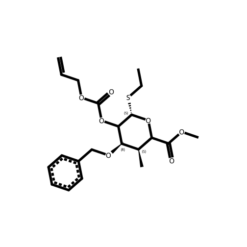 C=CCOC(=O)OC1[C@H](SCC)OC(C(=O)OC)[C@@H](C)[C@H]1OCc1ccccc1